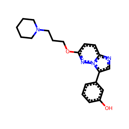 Oc1cccc(-c2cnc3ccc(OCCCN4CCCCC4)nn23)c1